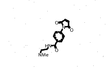 CNCCNC(=O)c1ccc(N2C(=O)C=CC2=O)cc1